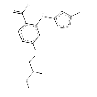 CC[C@H](N)CNc1ccc(C(N)=O)c(Nc2cc(C)ns2)c1